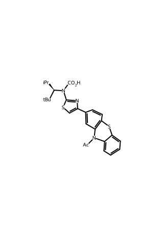 CC(=O)N1c2ccccc2Sc2ccc(-c3csc(N(C(=O)O)[C@H](C(C)C)C(C)(C)C)n3)cc21